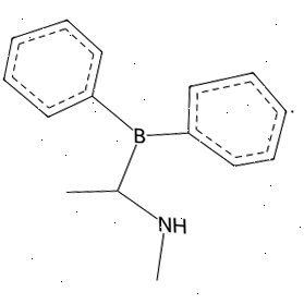 CNC(C)B(c1cc[c]cc1)c1ccccc1